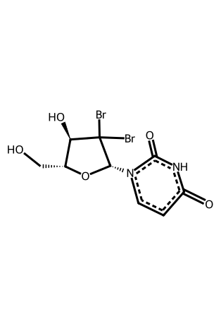 O=c1ccn([C@@H]2O[C@H](CO)[C@@H](O)C2(Br)Br)c(=O)[nH]1